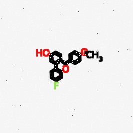 COc1ccc(C(=O)c2ccc(O)cc2-c2ccc(F)cc2)cc1